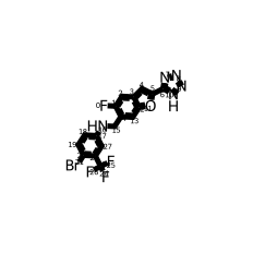 Fc1cc2cc(-c3nnn[nH]3)oc2cc1CNc1ccc(Br)c(C(F)(F)F)c1